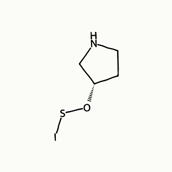 ISO[C@H]1CCNC1